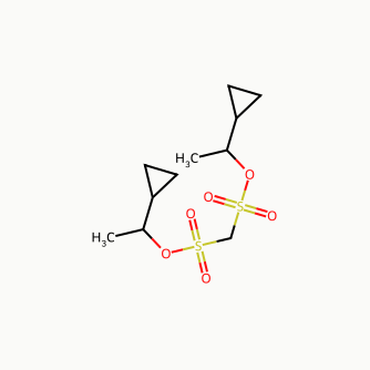 CC(OS(=O)(=O)CS(=O)(=O)OC(C)C1CC1)C1CC1